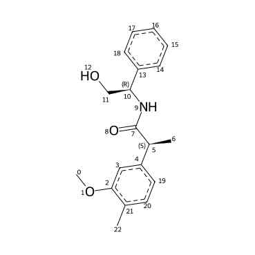 COc1cc([C@H](C)C(=O)N[C@@H](CO)c2ccccc2)ccc1C